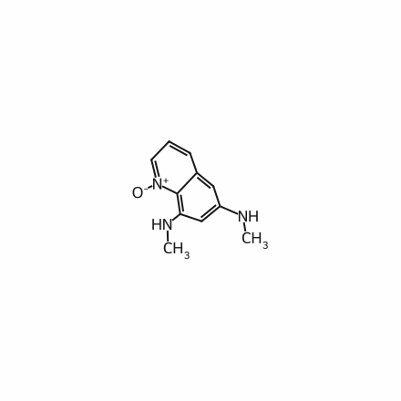 CNc1cc(NC)c2c(ccc[n+]2[O-])c1